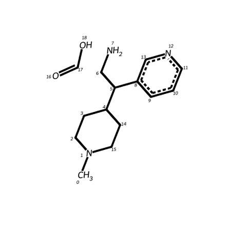 CN1CCC(C(CN)c2cccnc2)CC1.O=CO